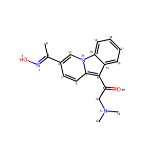 CC(=NO)c1ccc2c(C(=O)CN(C)C)c3ccccc3n2c1